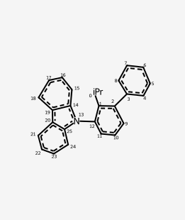 CC(C)c1c(-c2ccccc2)cccc1-n1c2ccccc2c2ccccc21